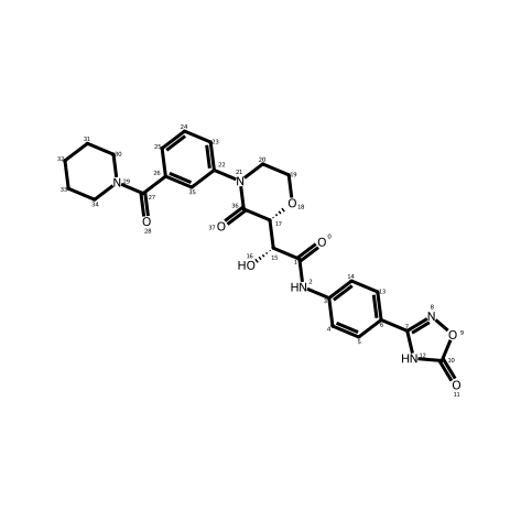 O=C(Nc1ccc(-c2noc(=O)[nH]2)cc1)[C@H](O)[C@H]1OCCN(c2cccc(C(=O)N3CCCCC3)c2)C1=O